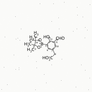 CC1(C)OB(c2cc(CC(=O)O)cc(C=O)c2O)OC1(C)C